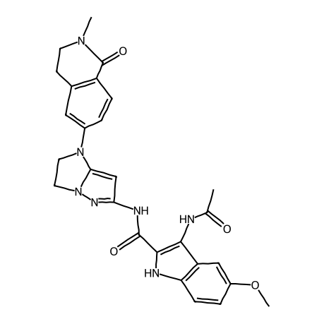 COc1ccc2[nH]c(C(=O)Nc3cc4n(n3)CCN4c3ccc4c(c3)CCN(C)C4=O)c(NC(C)=O)c2c1